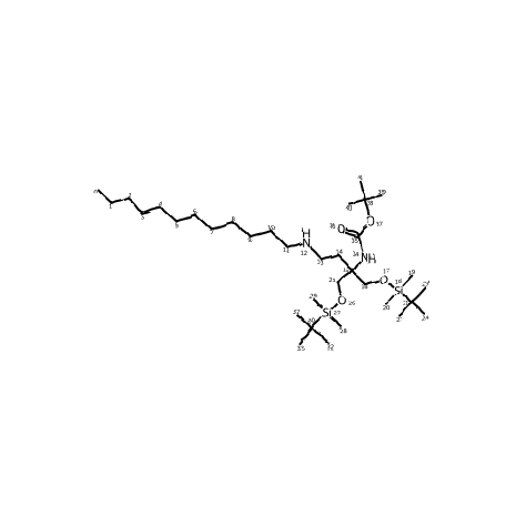 CCCCCCCCCCCCNCCC(CO[Si](C)(C)C(C)(C)C)(CO[Si](C)(C)C(C)(C)C)NC(=O)OC(C)(C)C